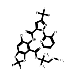 CSCC(C)(C)NC(=O)c1c(NC(=O)c2cc(C(F)(F)F)nn2-c2ncccc2Cl)c(Cl)cc2c1OC(F)(F)O2